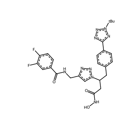 CC(C)(C)n1nnc(-c2ccc(CC(CC(=O)NO)n3cc(CNC(=O)c4ccc(F)c(F)c4)nn3)cc2)n1